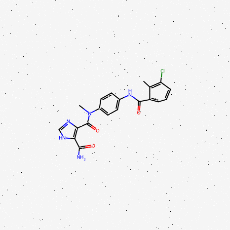 Cc1c(Cl)cccc1C(=O)Nc1ccc(N(C)C(=O)c2nc[nH]c2C(N)=O)cc1